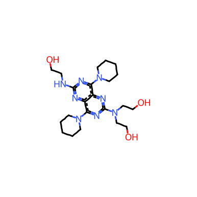 OCCNc1nc(N2CCCCC2)c2nc(N(CCO)CCO)nc(N3CCCCC3)c2n1